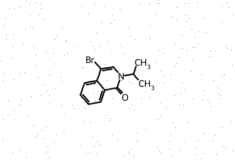 CC(C)n1cc(Br)c2ccccc2c1=O